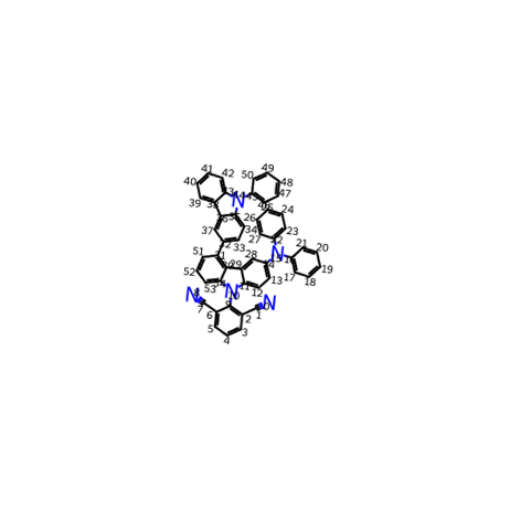 N#Cc1cccc(C#N)c1-n1c2ccc(N(c3ccccc3)c3ccccc3)cc2c2c(-c3ccc4c(c3)c3ccccc3n4-c3ccccc3)cccc21